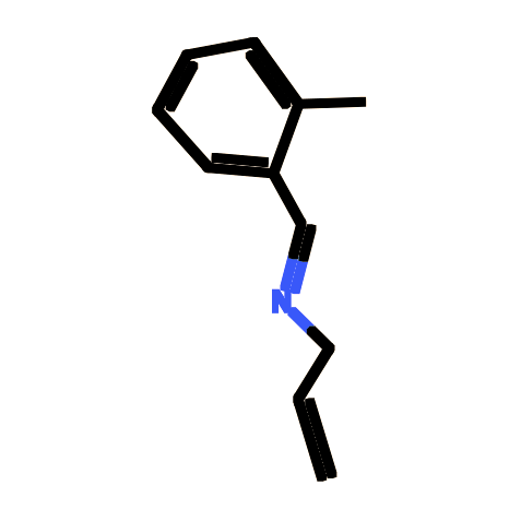 C=CC/N=C/c1ccccc1C